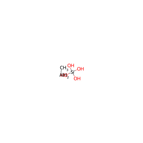 O[Si](O)(O)O.[CH3][AlH2]